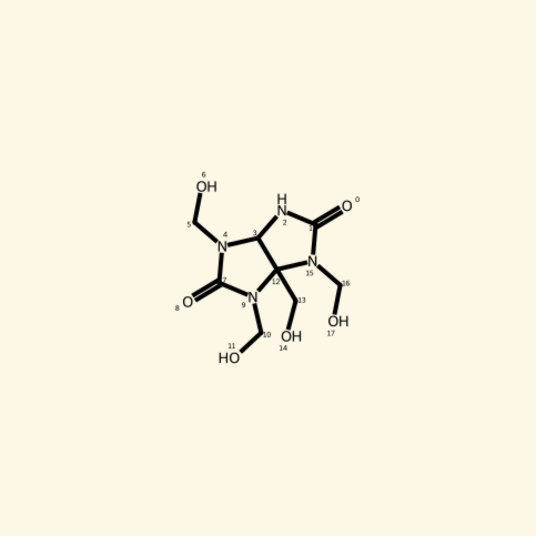 O=C1NC2N(CO)C(=O)N(CO)C2(CO)N1CO